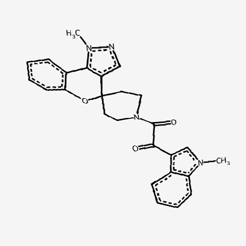 Cn1ncc2c1-c1ccccc1OC21CCN(C(=O)C(=O)c2cn(C)c3ccccc23)CC1